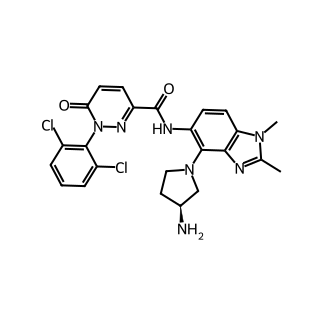 Cc1nc2c(N3CC[C@H](N)C3)c(NC(=O)c3ccc(=O)n(-c4c(Cl)cccc4Cl)n3)ccc2n1C